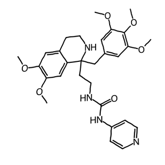 COc1cc2c(cc1OC)C(CCNC(=O)Nc1ccncc1)(Cc1cc(OC)c(OC)c(OC)c1)NCC2